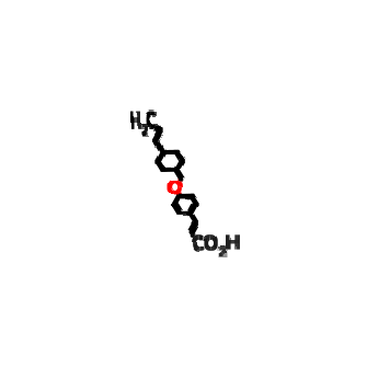 C=CCC1CCC(COc2ccc(/C=C/C(=O)O)cc2)CC1